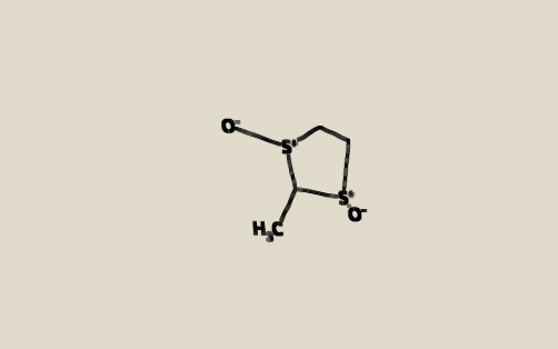 CC1[S+]([O-])CC[S+]1[O-]